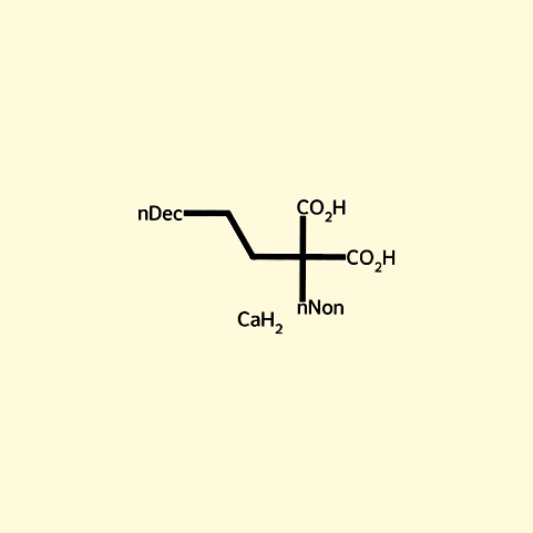 CCCCCCCCCCCCC(CCCCCCCCC)(C(=O)O)C(=O)O.[CaH2]